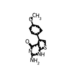 COc1ccc(-c2csc3[nH]c(N)nc(=O)c23)cc1